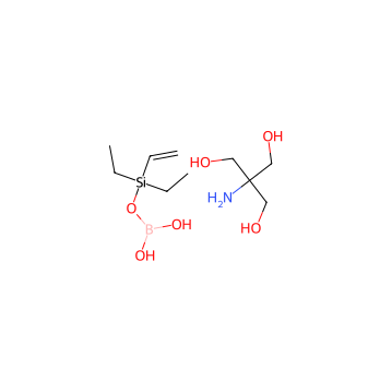 C=C[Si](CC)(CC)OB(O)O.NC(CO)(CO)CO